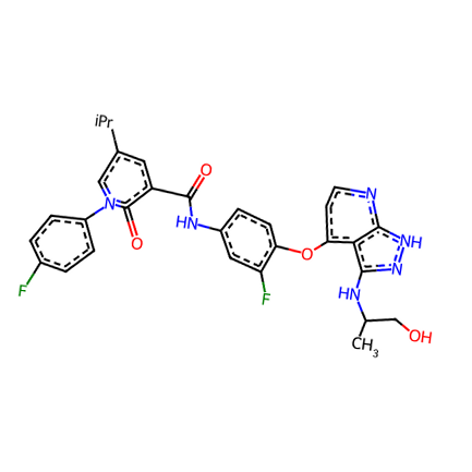 CC(CO)Nc1n[nH]c2nccc(Oc3ccc(NC(=O)c4cc(C(C)C)cn(-c5ccc(F)cc5)c4=O)cc3F)c12